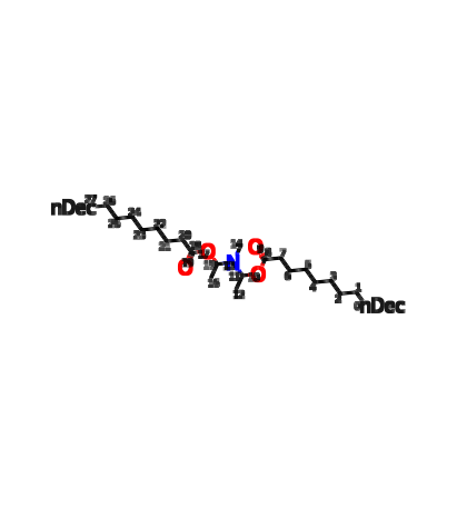 CCCCCCCCCCCCCCCCCC(=O)OC(C)N(C)C(C)OC(=O)CCCCCCCCCCCCCCCCC